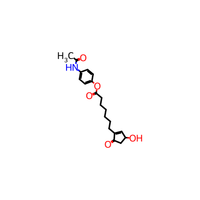 CC(=O)Nc1ccc(OC(=O)CCCCCCC2=CC(O)CC2=O)cc1